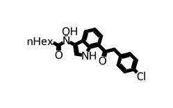 CCCCCCC(=O)N(O)c1c[nH]c2c(C(=O)Cc3ccc(Cl)cc3)cccc12